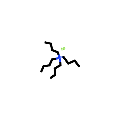 CCCC[N+](CCCC)(CCCC)CCCC.F